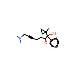 CN(C)CC#CCCC(=O)C(O)(c1ccccc1)C1(C)CC1